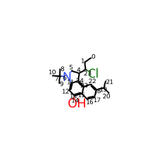 CCC(Cl)C1CN(C(C)(C)C)c2cc(O)c3ccc(C(C)C)cc3c21